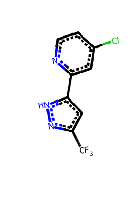 FC(F)(F)c1cc(-c2cc(Cl)ccn2)[nH]n1